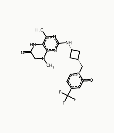 Cc1nc(N[C@H]2C[C@@H](Cn3ccc(C(F)(F)F)cc3=O)C2)nc2c1NC(=O)CN2C